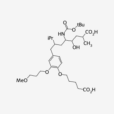 COCCCOc1cc(CC(CC(NC(=O)OC(C)(C)C)C(O)CC(C)C(=O)O)C(C)C)ccc1OCCCCC(=O)O